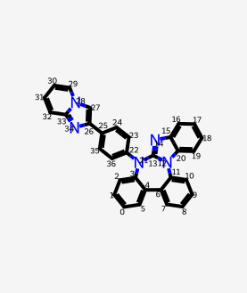 c1ccc2c(c1)-c1ccccc1-n1c(nc3ccccc31)N2c1ccc(-c2cn3ccccc3n2)cc1